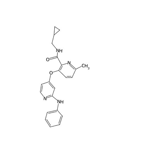 Cc1ccc(Oc2ccnc(Nc3ccccc3)c2)c(C(=O)NCC2CC2)n1